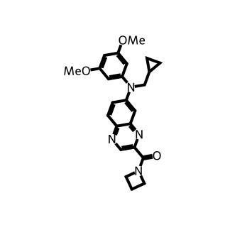 COc1cc(OC)cc(N(CC2CC2)c2ccc3ncc(C(=O)N4CCC4)nc3c2)c1